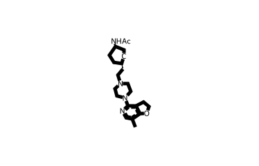 CC(=O)N[C@H]1CC[C@H](CCN2CCN(c3ncc(C)c4c3CCO4)CC2)CC1